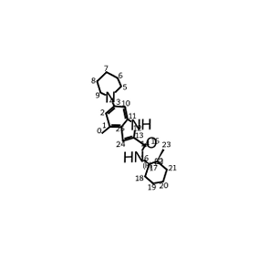 Cc1cc(N2CCCCC2)cc2[nH]c(C(=O)N[C@@H]3CCCC[C@@H]3C)cc12